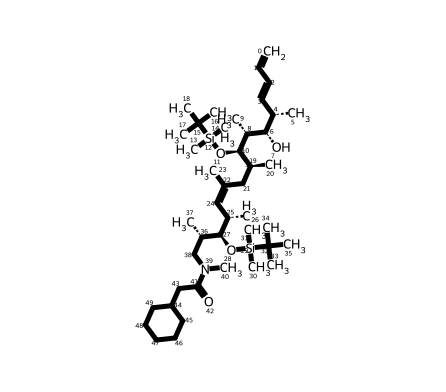 C=CC=C[C@H](C)[C@H](O)[C@@H](C)[C@H](O[Si](C)(C)C(C)(C)C)[C@@H](C)CC(C)=C[C@H](C)[C@@H](O[Si](C)(C)C(C)(C)C)[C@@H](C)CN(C)C(=O)CC1CCCCC1